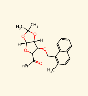 CCCC(=O)[C@H]1O[C@@H]2OC(C)(C)O[C@@H]2[C@H]1OCc1c(C)ccc2ccccc12